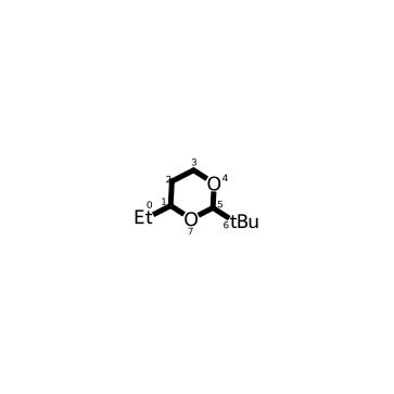 CCC1CCOC(C(C)(C)C)O1